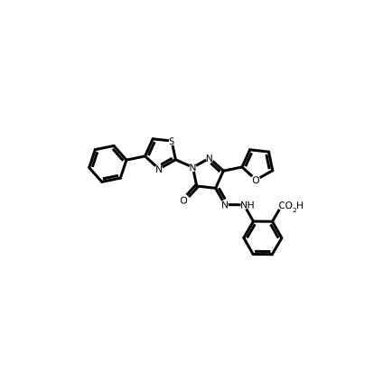 O=C(O)c1ccccc1N/N=C1/C(=O)N(c2nc(-c3ccccc3)cs2)N=C1c1ccco1